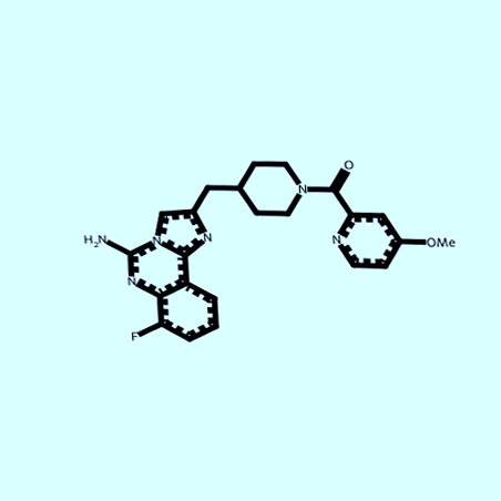 COc1ccnc(C(=O)N2CCC(Cc3cn4c(N)nc5c(F)cccc5c4n3)CC2)c1